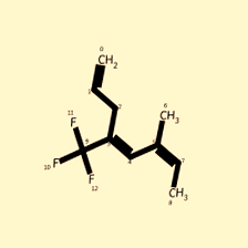 C=CC/C(=C\C(C)=C/C)C(F)(F)F